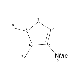 CNC1=CCC(C)C1C